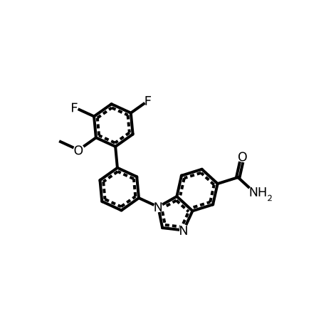 COc1c(F)cc(F)cc1-c1cccc(-n2cnc3cc(C(N)=O)ccc32)c1